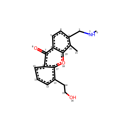 CNCc1ccc2c(=O)c3cccc(CCO)c3oc2c1C